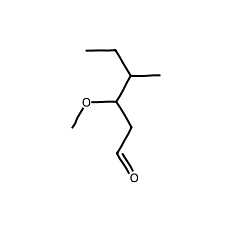 CCC(C)C(CC=O)OC